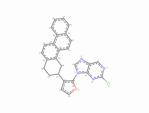 Clc1ncc2ncn(-c3occc3C3CCc4ccc5c(ccc6ccccc65)c4C3)c2n1